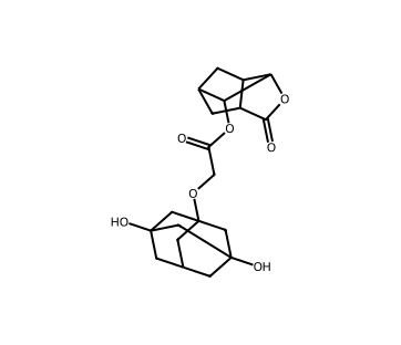 O=C(COC12CC3CC(O)(CC(O)(C3)C1)C2)OC1C2CC3C(=O)OC1C3C2